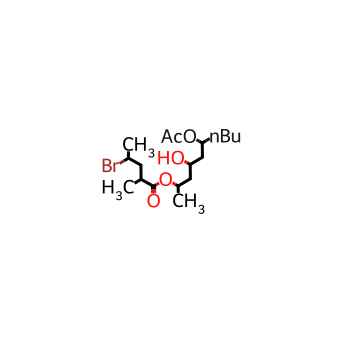 CCCCC(CC(O)CC(C)OC(=O)C(C)CC(C)Br)OC(C)=O